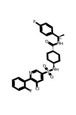 C[C@@H](NC(=O)[C@H]1CC[C@H](NS(=O)(=O)c2cnc(-c3ccccc3F)c(Cl)c2)CC1)c1ccc(F)cc1